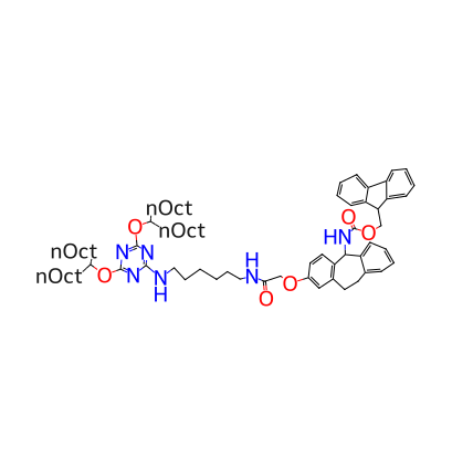 CCCCCCCCC(CCCCCCCC)Oc1nc(NCCCCCCNC(=O)COc2ccc3c(c2)CCc2ccccc2C3NC(=O)OCC2c3ccccc3-c3ccccc32)nc(OC(CCCCCCCC)CCCCCCCC)n1